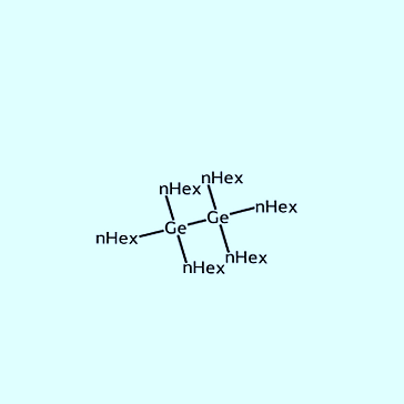 CCCCC[CH2][Ge]([CH2]CCCCC)([CH2]CCCCC)[Ge]([CH2]CCCCC)([CH2]CCCCC)[CH2]CCCCC